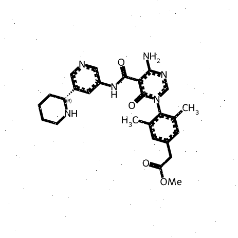 COC(=O)Cc1cc(C)c(-n2cnc(N)c(C(=O)Nc3cncc([C@H]4CCCCN4)c3)c2=O)c(C)c1